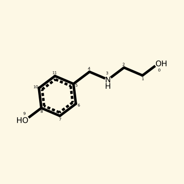 OCCNCc1ccc(O)cc1